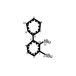 CC(C)(C)c1[c]ccc(-c2ccccc2)c1C(C)(C)C